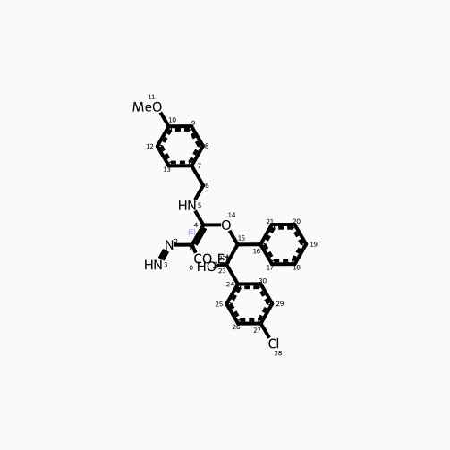 CCOC(=O)/C(N=N)=C(/NCc1ccc(OC)cc1)OC(c1ccccc1)C(O)c1ccc(Cl)cc1